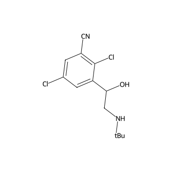 CC(C)(C)NCC(O)c1cc(Cl)cc(C#N)c1Cl